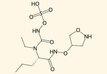 CCC[C@@H](C(=O)NOC1CNOC1)N(CC)C(=O)NOS(=O)(=O)O